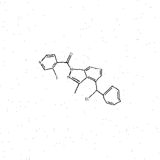 CCC(c1ccccc1)c1cccc2c1c(C)nn2C(=O)c1ccncc1F